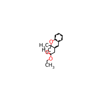 CCOC(=O)CC1=Cc2ccccc2OC1(C)C